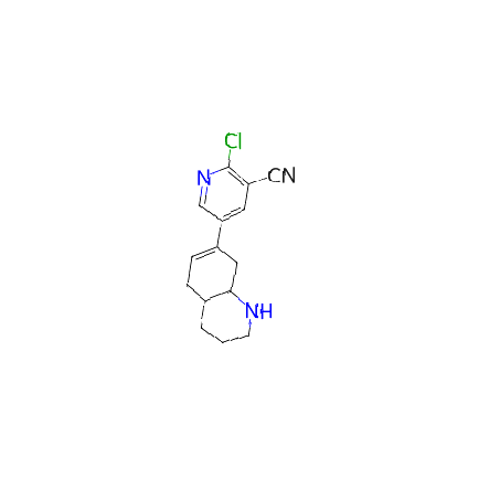 N#Cc1cc(C2=CCC3CCCNC3C2)cnc1Cl